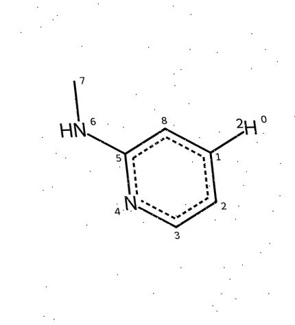 [2H]c1ccnc(NC)c1